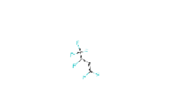 FC(F)=CC(F)C(F)(F)F